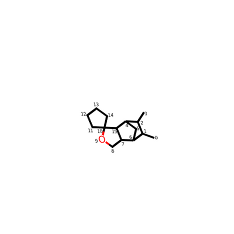 CC1C(C)C2CC1C1COC3(CCCC3)C21